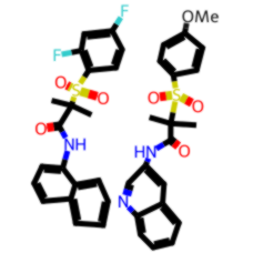 CC(C)(C(=O)Nc1cccc2ccccc12)S(=O)(=O)c1ccc(F)cc1F.COc1ccc(S(=O)(=O)C(C)(C)C(=O)Nc2cnc3ccccc3c2)cc1